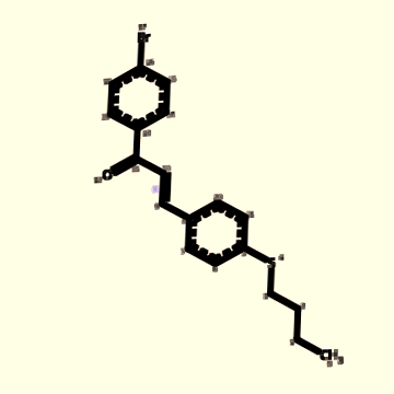 CCCCSc1ccc(/C=C/C(=O)c2ccc(Br)cc2)cc1